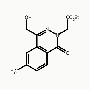 CCOC(=O)Cn1nc(CO)c2cc(C(F)(F)F)ccc2c1=O